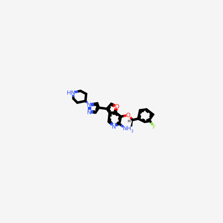 C[C@@H](Oc1c(N)ncc2c(-c3cnn(C4CCNCC4)c3)coc12)c1cccc(F)c1